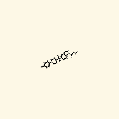 CCCC(=O)N1CCc2cc(S(=O)(=O)N3CCN(c4ccc(F)cc4)CC3)ccc21